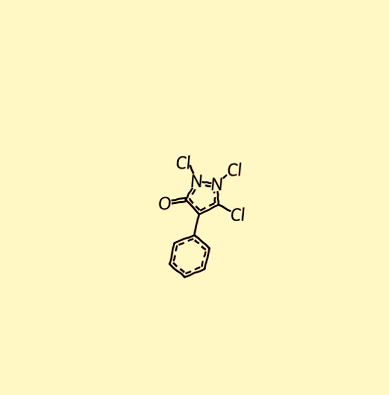 O=c1c(-c2ccccc2)c(Cl)n(Cl)n1Cl